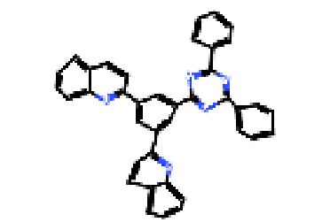 c1ccc(-c2nc(-c3ccccc3)nc(-c3cc(-c4ccc5ccccc5n4)cc(-c4ccc5ccccc5n4)c3)n2)cc1